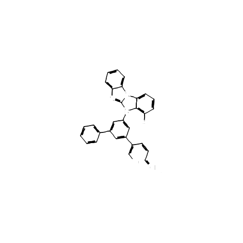 C=C/C=C\C(=C/CC)c1cc(-c2ccccc2)cc(-n2c3c(Br)cccc3n3c4ccccc4nc23)c1